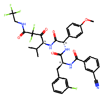 COc1ccc([C@H](NC(=O)[C@H](Cc2cccc(F)c2)NC(=O)c2cccc(C#N)c2)C(=O)N[C@H](C(=O)C(F)(F)C(=O)NCC(F)(F)F)C(C)C)cc1